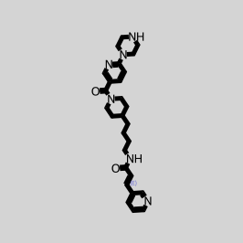 O=C(/C=C/c1cccnc1)NCCCCC1CCN(C(=O)c2ccc(N3CCNCC3)nc2)CC1